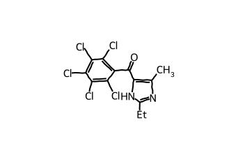 CCc1nc(C)c(C(=O)c2c(Cl)c(Cl)c(Cl)c(Cl)c2Cl)[nH]1